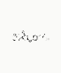 CC(C)C[C@@H](C(=O)O)N1CC(Oc2ccc(CC(C)(C)O)cc2)=CC1=O